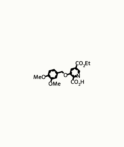 CCOC(=O)c1cnc(C(=O)O)c(OCc2ccc(OC)c(OC)c2)c1